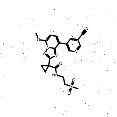 COc1ccc(-c2cncc(C#N)c2)c2nc(C3(C(=O)NCCS(C)(=O)=O)CC3)nn12